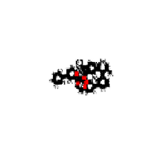 Cc1cnccc1-c1cccc2c3cccc(-c4ccncc4C)c3n(-c3cccc4c3C(=O)N(c3ccc(-c5ccccc5)cc3-c3ccccc3)C4=O)c12